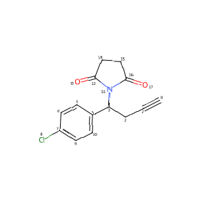 C#CCC(c1ccc(Cl)cc1)N1C(=O)CCC1=O